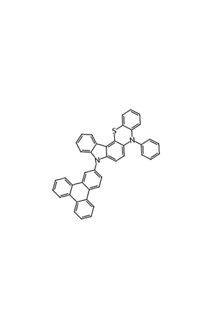 c1ccc(N2c3ccccc3Sc3c2ccc2c3c3ccccc3n2-c2ccc3c4ccccc4c4ccccc4c3c2)cc1